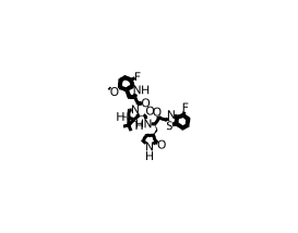 COc1ccc(F)c2[nH]c(C(=O)N3C[C@H]4[C@@H]([C@H]3C(=O)N[C@@H](C[C@@H]3CCNC3=O)C(=O)c3nc5c(F)cccc5s3)C4(C)C)cc12